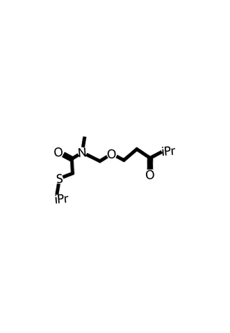 CC(C)SCC(=O)N(C)COCCC(=O)C(C)C